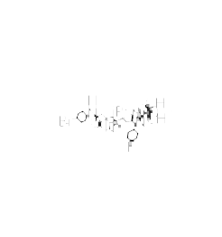 CC(C)c1nc(N(C)S(C)(=O)=O)nc(-c2ccc(F)cc2)c1/C=C/[C@@H](O)C[C@@H](O)CC(=O)Nc1ccc(Br)cc1